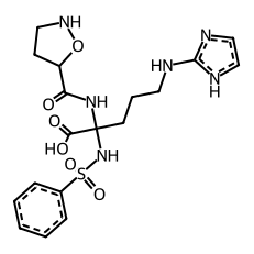 O=C(NC(CCCNc1ncc[nH]1)(NS(=O)(=O)c1ccccc1)C(=O)O)C1CCNO1